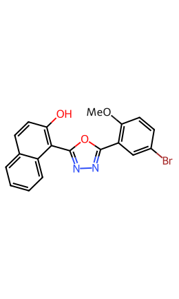 COc1ccc(Br)cc1-c1nnc(-c2c(O)ccc3ccccc23)o1